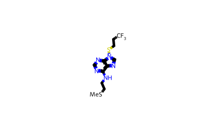 CSCCNc1ncnc2c1ncn2SCCC(F)(F)F